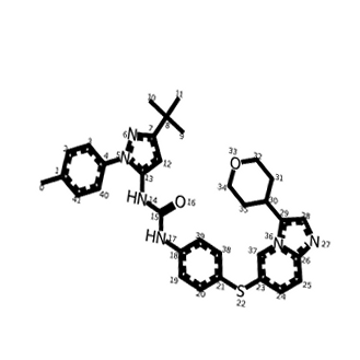 Cc1ccc(-n2nc(C(C)(C)C)cc2NC(=O)Nc2ccc(Sc3ccc4ncc(C5CCOCC5)n4c3)cc2)cc1